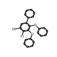 Clc1cc(-c2ccccc2)c(Oc2ccccc2)c(Oc2ccccc2)c1Cl